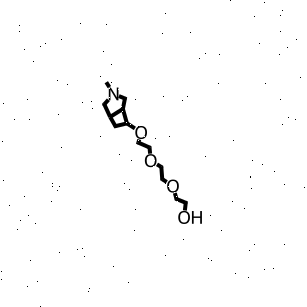 CN1CC2CC(OCCOCCOCCO)C2C1